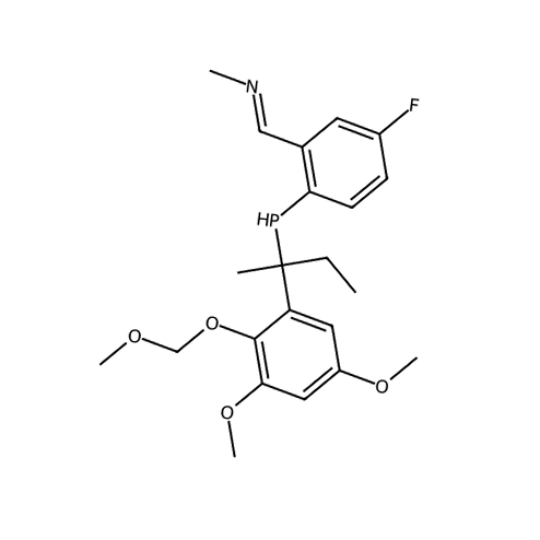 CCC(C)(Pc1ccc(F)cc1/C=N/C)c1cc(OC)cc(OC)c1OCOC